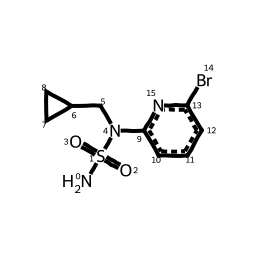 NS(=O)(=O)N(CC1CC1)c1cccc(Br)n1